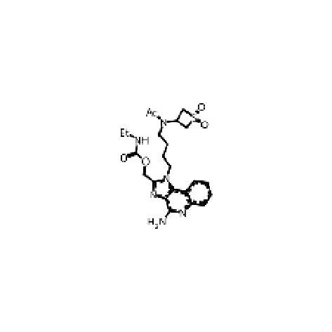 CCNC(=O)OCc1nc2c(N)nc3ccccc3c2n1CCCCN(C(C)=O)C1CS(=O)(=O)C1